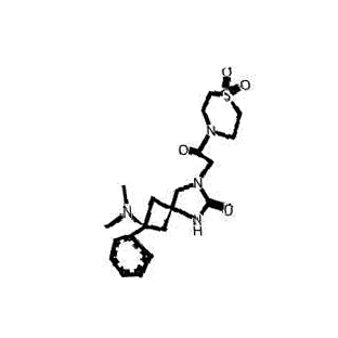 CN(C)[C@]1(c2ccccc2)C[C@]2(CN(CC(=O)N3CCS(=O)(=O)CC3)C(=O)N2)C1